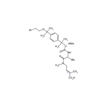 CN[C@H](C(=O)NC(C(=O)N(C)C/C=C(\C)C(=O)O)C(C)(C)C)C(C)(C)c1ccc(C(C)(C)OCCC(C)C)cc1